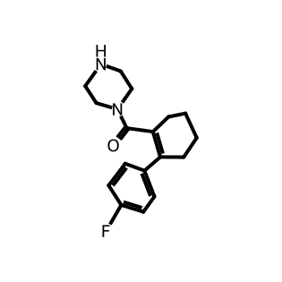 O=C(C1=C(c2ccc(F)cc2)CCCC1)N1CCNCC1